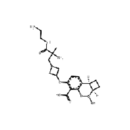 CC(N)(CN1CC(Oc2ccc3c(c2C(=O)O)OB(O)[C@@H]2CC[C@H]32)C1)C(=O)NCCN